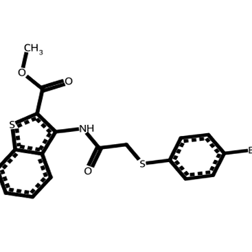 COC(=O)c1sc2ccccc2c1NC(=O)CSc1ccc(Br)cc1